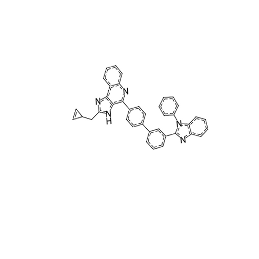 C1=CC1Cc1nc2c([nH]1)c(-c1ccc(-c3cccc(-c4nc5ccccc5n4-c4ccccc4)c3)cc1)nc1ccccc12